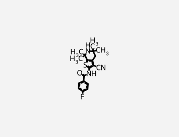 CC1(C)Cc2c(sc(NC(=O)c3ccc(F)cc3)c2C#N)C(C)(C)N1